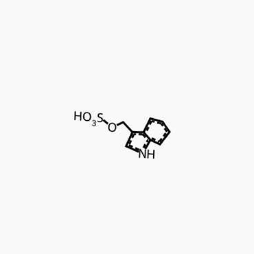 O=S(=O)(O)OCc1c[nH]c2ccccc12